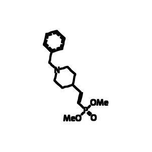 COP(=O)(/C=C/C1CCN(Cc2ccccc2)CC1)OC